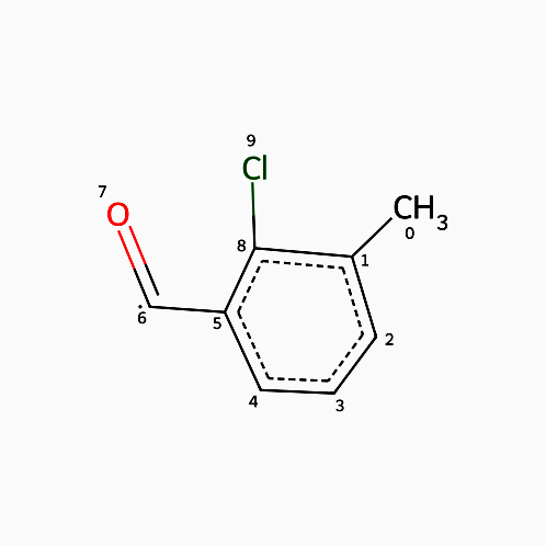 Cc1cccc([C]=O)c1Cl